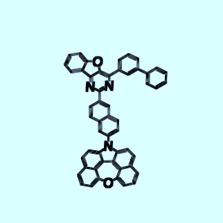 c1ccc(-c2cccc(-c3nc(-c4ccc5cc(-n6c7ccc8cccc9oc%10cccc%11ccc6c(c%11%10)c7c89)ccc5c4)nc4c3oc3ccccc34)c2)cc1